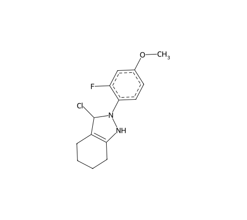 COc1ccc(N2NC3=C(CCCC3)C2Cl)c(F)c1